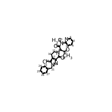 C[C@H]1Oc2cccnc2N(C)C(=O)[C@H]1N1CCc2c(nn(Cc3ccccc3)c2Cl)C1=O